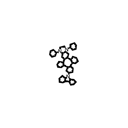 c1ccc(-n2ccn(-c3ccccc3)c3cc4c5ccccc5c5cc(-n6c7ccccc7c7ccccc76)ccc5c5ccccc5c4cc32)cc1